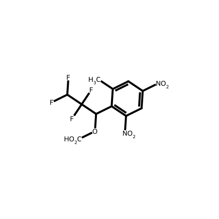 Cc1cc([N+](=O)[O-])cc([N+](=O)[O-])c1C(OC(=O)O)C(F)(F)C(F)F